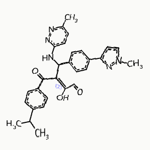 Cc1ccc(NC(/C(C(=O)c2ccc(C(C)C)cc2)=C(/O)C=O)c2ccc(-c3ccn(C)n3)cc2)nn1